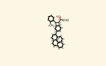 Cc1ccccc1C1c2cc(-c3ccc4ccc5cccc6ccc3c4c56)ccc2C1C(O)C=O